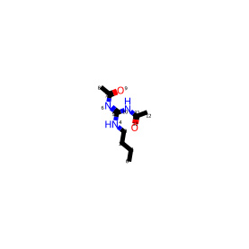 CCCCN/C(=N/C(C)=O)NC(C)=O